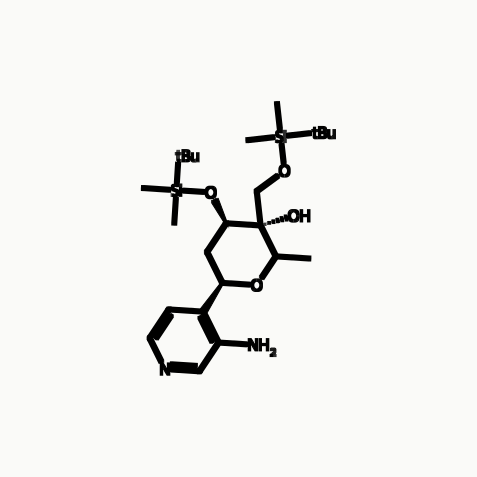 CC1O[C@@H](c2ccncc2N)C[C@@H](O[Si](C)(C)C(C)(C)C)[C@@]1(O)CO[Si](C)(C)C(C)(C)C